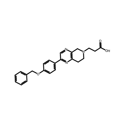 O=C(O)CCN1CCc2nc(-c3ccc(OCc4ccccc4)cc3)cnc2C1